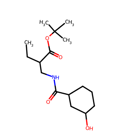 CCC(CNC(=O)C1CCCC(O)C1)C(=O)OC(C)(C)C